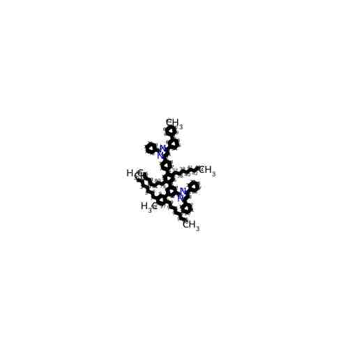 CCCCCCCCc1cc(-c2cc(-c3nc(-c4ccccc4)cc(-c4ccccc4)n3)cc(-c3cc(CCCCCCCC)c(-c4ccc(-c5cc(-c6cccc(-c7ccc(C)cc7)c6)nc(-c6ccccc6)n5)cc4)cc3CCCCCCCC)c2)c(CCCCCCCC)cc1C